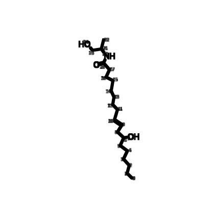 CCCCCCC(O)CC=CCCCCCCCC(=O)NC(C)CO